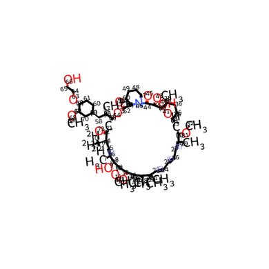 [2H]C([2H])([2H])[C@@H]1/C=C(\C)[C@@H](O)[C@@H](OC)C(=O)[C@H](C)C([2H])(C)C(C)(C)/C=C/C=C/C=C(\C)[C@@H](OC)C[C@@H]2CC[C@@H](C)[C@@](O)(O2)C(=O)C(=O)N2CCCC[C@H]2C(=O)O[C@H]([C@H](C)C[C@@H]2CC[C@@H](OCCO)[C@H](OC)C2)CC1=O